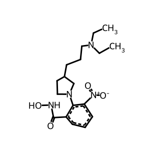 CCN(CC)CCCC1CCN(c2c(C(=O)NO)cccc2[N+](=O)[O-])C1